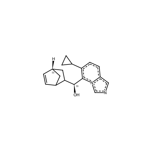 O[C@H](c1c(C2CC2)ccc2cncn12)C1C[C@H]2C=CC1C2